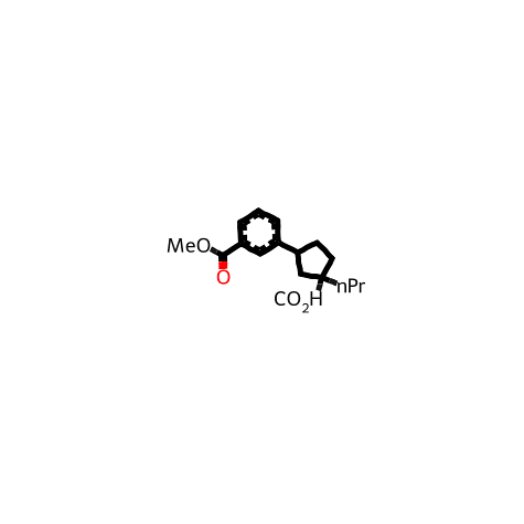 CCCC1(C(=O)O)CCC(c2cccc(C(=O)OC)c2)C1